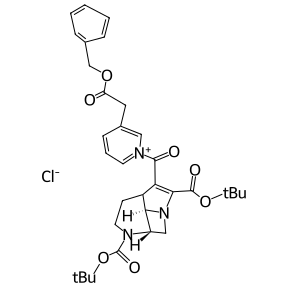 CC(C)(C)OC(=O)C1=C(C(=O)[n+]2cccc(CC(=O)OCc3ccccc3)c2)C2CCN(C(=O)OC(C)(C)C)[C@H]3CN1[C@H]23.[Cl-]